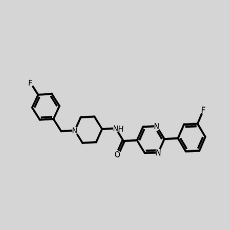 O=C(NC1CCN(Cc2ccc(F)cc2)CC1)c1cnc(-c2cccc(F)c2)nc1